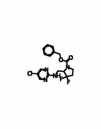 O=C(OCc1ccccc1)N1CCC(F)(F)C1CNc1ncc(Cl)cn1